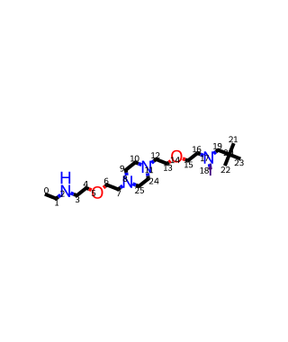 CCNCCOCCN1CCN(CCOCCN(I)CC(C)(C)C)CC1